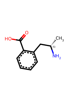 C[C@H](N)Cc1ccccc1C(=O)O